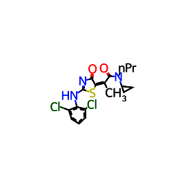 CCCN(C(=O)C(C)=C1SC(Nc2c(Cl)cccc2Cl)=NC1=O)C1CC1